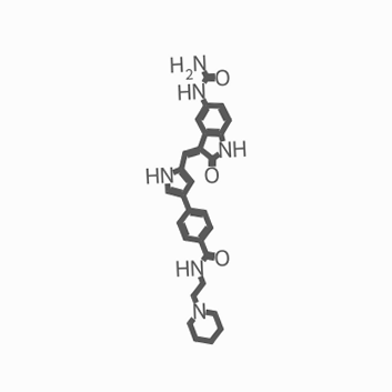 NC(=O)Nc1ccc2c(c1)C(=Cc1cc(-c3ccc(C(=O)NCCN4CCCCC4)cc3)c[nH]1)C(=O)N2